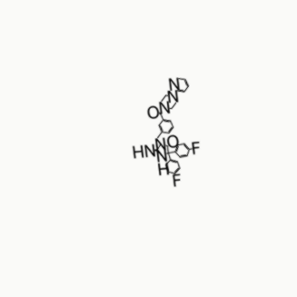 N=C1NC(c2ccc(F)cc2)(c2ccc(F)cc2)C(=O)N1Cc1cccc(C(=O)N2CCN(c3ccccn3)CC2)c1